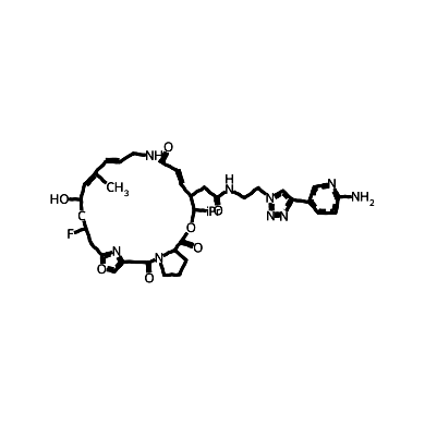 CC1=C\C(O)CC(F)Cc2nc(co2)C(=O)N2CCCC2C(=O)OC(C(C)C)C(CC(=O)NCCn2cc(-c3ccc(N)nc3)nn2)/C=C/C(=O)NC\C=C\1